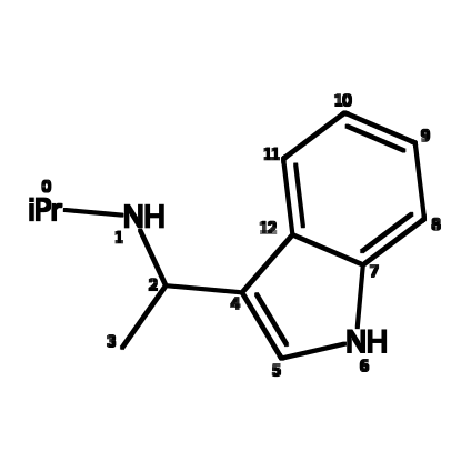 CC(C)NC(C)c1c[nH]c2ccccc12